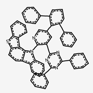 c1ccc(-c2nc(-c3ccccc3)nc(-c3cc(-c4c(-c5ccccc5)cccc4-c4ccccc4)cnc3-n3c4ccccc4c4ccc5sc6ccccc6c5c43)n2)cc1